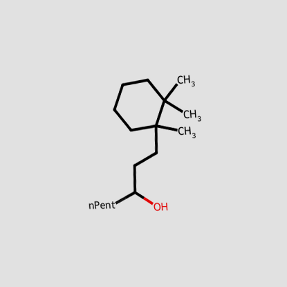 CCCCCC(O)CCC1(C)CCCCC1(C)C